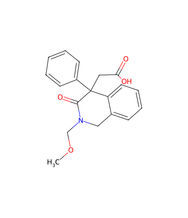 COCN1Cc2ccccc2C(CC(=O)O)(c2ccccc2)C1=O